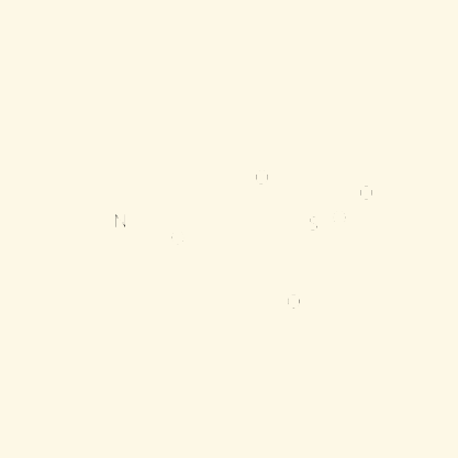 COc1ccc2c(C(=O)c3ccc(OCCN4CCCCC4)cc3)c(-c3ccccc3C3OCCO3)sc2c1